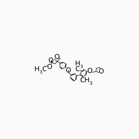 CCOC(=O)CC1(c2ccc(OCc3cccc(-c4c(C)cc(OCC5CCOC5)cc4C)c3)cc2)COC1